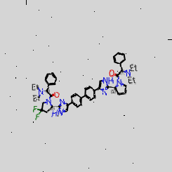 CCN(CC)[C@@H](C(=O)N1CCC[C@H]1c1nc(-c2ccc(-c3ccc(-c4c[nH]c([C@@H]5CC(F)(F)CN5C(=O)[C@@H](c5ccccc5)N(CC)CC)n4)cc3)cc2)c[nH]1)c1ccccc1